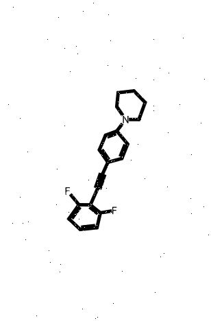 Fc1cccc(F)c1C#Cc1ccc(N2CCCCC2)cc1